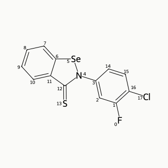 Fc1cc(-n2[se]c3ccccc3c2=S)ccc1Cl